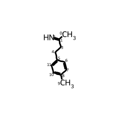 CC(=N)CCc1ccc(C)cc1